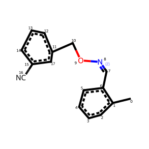 Cc1ccccc1/[C]=N\OCc1cccc(C#N)c1